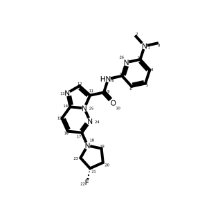 CN(C)c1cccc(NC(=O)c2cnc3ccc(N4CC[C@H](F)C4)nn23)n1